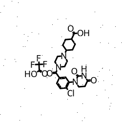 O=C(O)C(F)(F)F.O=C1CCN(c2cc(C(=O)N3CCN(C4CCC(C(=O)O)CC4)CC3)ccc2Cl)C(=O)N1